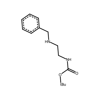 CC(C)(C)OC(=O)NCCNCc1ccccc1